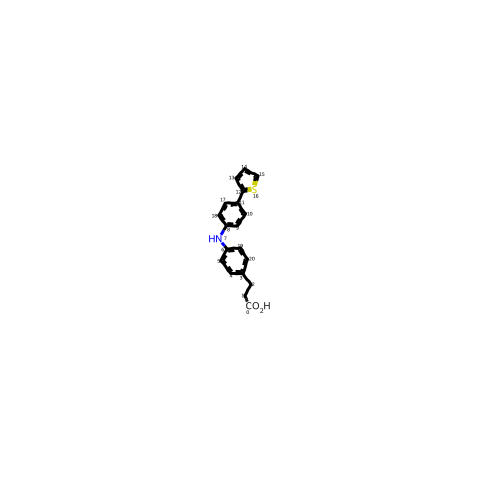 O=C(O)CCc1ccc(Nc2ccc(-c3cccs3)cc2)cc1